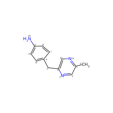 Cc1cnc(Cc2ccc(N)cc2)cn1